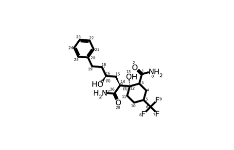 NC(=O)C1CC(C(F)(F)F)CC[C@@]1(O)[C@H](C[C@@H](O)[CH]Cc1ccccc1)C(N)=O